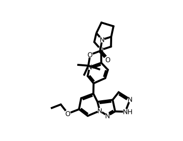 CCOc1cc(-c2ccc(N3CC4CCC(C3)N4C(=O)OC(C)(C)C)nc2)c2c3cn[nH]c3nn2c1